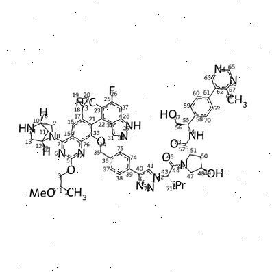 CO[C@@H](C)COc1nc(N2C[C@@H]3C[C@H]2CN3)c2cc(C3CC3)c(-c3c(C)c(F)cc4[nH]ncc34)c(OCc3ccc(-c4cn([C@H](C(=O)N5C[C@H](O)C[C@H]5C(=O)N[C@@H](CO)c5ccc(-c6cncnc6C)cc5)C(C)C)nn4)cc3)c2n1